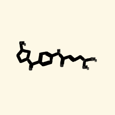 CC1CCN(C(=O)c2ccc(NC(=O)/C=C/CN(C)C)cc2)C1